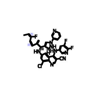 C=C(/C=C\C(F)=C/C)[C@H](Nc1cc(Cl)c2ncc(C#N)c(Nc3cnc(F)c(F)c3)c2c1)C1=CN(c2cccnc2)NN1